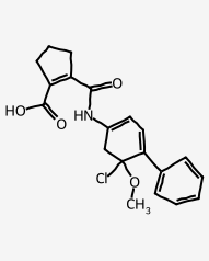 COC1(Cl)CC(NC(=O)C2=C(C(=O)O)CCC2)=CC=C1c1ccccc1